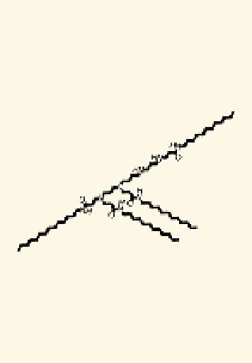 CCCCCCCCCCCCCCNC(=O)CCN(CCCN(CCCCNCCCNCCC(=O)NCCCCCCCCCCCC)CCC(=O)NCCCCCCCCCCCC)CCC(=O)NCCCCCCCCCCCC